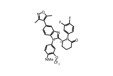 CNc1ccc(-n2c([C@@H]3CCCC(=O)N3c3ccc(F)c(F)c3)nc3cc(-c4c(C)noc4C)ccc32)cc1OC(F)(F)F